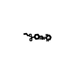 C=CCOC(=O)c1ccc(CNc2ncccn2)cc1